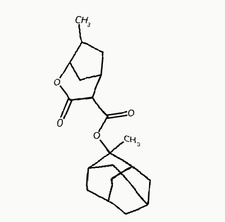 CC1CC2CC1OC(=O)C2C(=O)OC1(C)C2CC3CC(C2)CC1C3